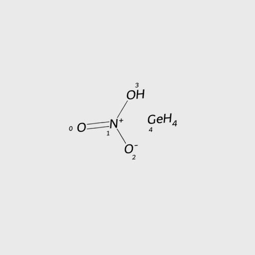 O=[N+]([O-])O.[GeH4]